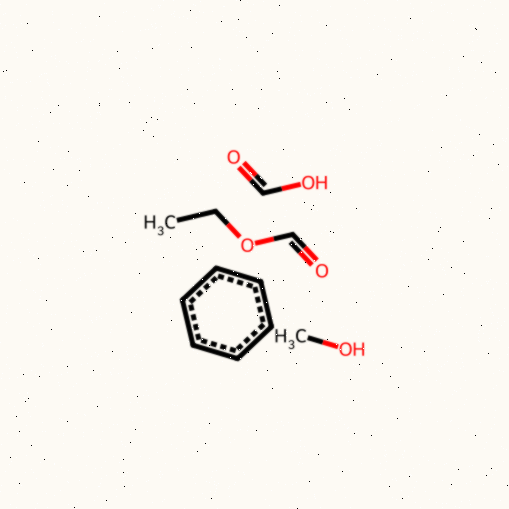 CCOC=O.CO.O=CO.c1ccccc1